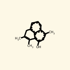 CC1=C(C)c2c(O)cc(C)c3cccc(c23)C1